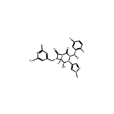 CC[C@H](c1cc(F)ccc1F)N1C(=O)N2C(=O)[C@H](Cc3cc(C)nc(N)c3)[C@H]2C(O)N1c1cnn(C)c1